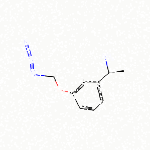 C[C@H](N)c1cccc(OCN=[N+]=[N-])c1